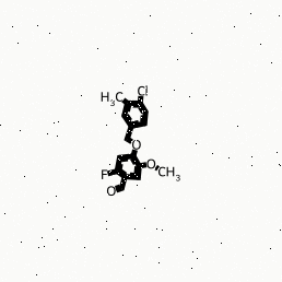 COc1cc(C=O)c(F)cc1OCc1ccc(Cl)c(C)c1